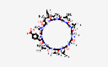 C/C=C/C[C@@H](C)[C@@H](O)[C@H]1C(=O)N[C@@H](CC)C(=O)N(C)C(Cc2ccc(C(=O)O)cc2)C(=O)N(C)[C@@H](CC(C)C)C(=O)N[C@@H](C(C)C)C(=O)N(C)[C@@H](CC(C)C)C(=O)N[C@@H](C)C(=O)N[C@H](C)C(=O)N(C)[C@@H](CCC)C(=O)N(C)[C@@H](CC(C)C)C(=O)N(C)[C@@H](C(C)C)C(=O)N1C